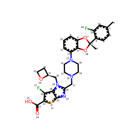 Cc1ccc([C@@]2(C)Oc3cccc(N4CCN(Cc5nc6sc(C(=O)O)c(F)c6n5C[C@@H]5CCO5)CC4)c3O2)c(F)c1